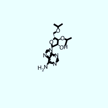 CC(C)OC[C@H]1O[C@@H](n2cnc3c(N)ncnc32)[C@@H](O)[C@@H]1OC(C)C